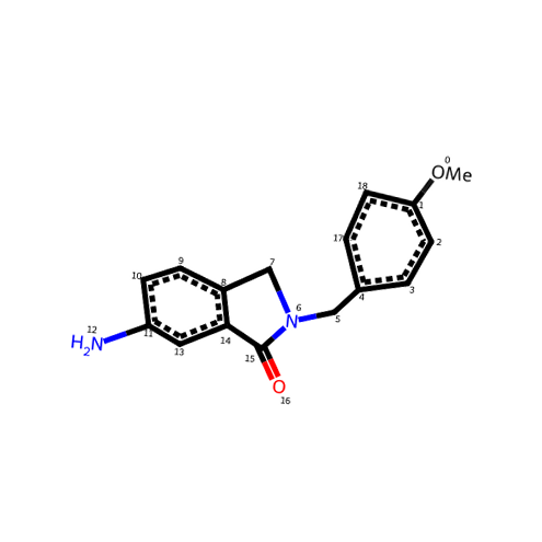 COc1ccc(CN2Cc3ccc(N)cc3C2=O)cc1